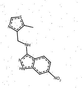 Cc1scnc1CNc1n[nH]c2cc([N+](=O)[O-])ccc12